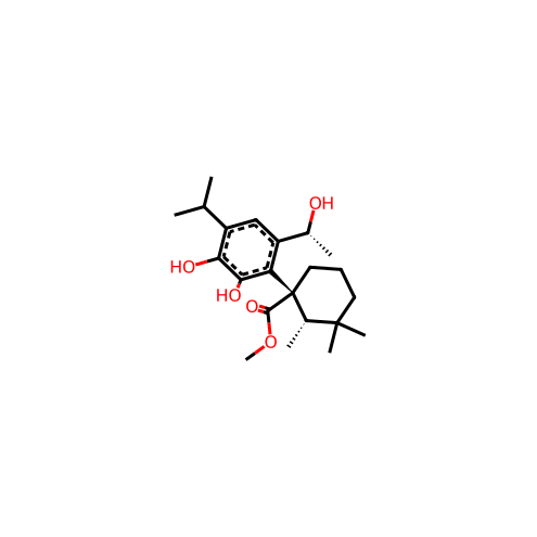 COC(=O)[C@]1(c2c([C@@H](C)O)cc(C(C)C)c(O)c2O)CCCC(C)(C)[C@@H]1C